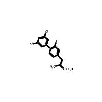 CC(Cc1ccc(-c2cc(Cl)cc(Cl)c2)c(F)c1)C(=O)O